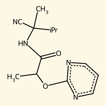 CC(Oc1ncccn1)C(=O)NC(C)(C#N)C(C)C